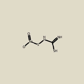 N=C(S)NS[N+](=O)[O-]